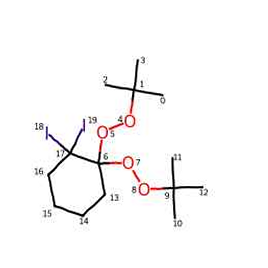 CC(C)(C)OOC1(OOC(C)(C)C)CCCCC1(I)I